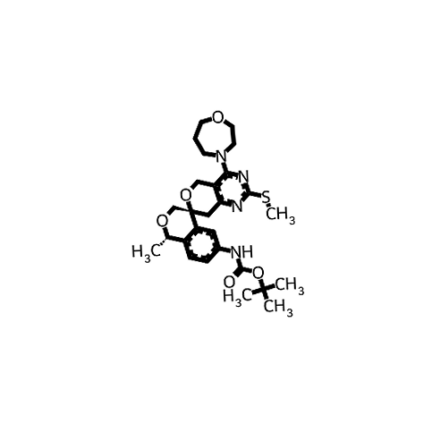 CSc1nc2c(c(N3CCCOCC3)n1)CO[C@]1(CO[C@@H](C)c3ccc(NC(=O)OC(C)(C)C)cc31)C2